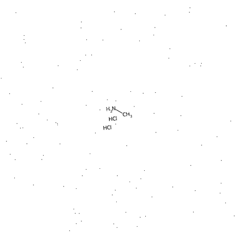 CN.Cl.Cl